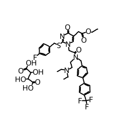 CCOC(=O)Cc1cn(CC(=O)N(CCN(CC)CC)Cc2ccc(-c3ccc(C(F)(F)F)cc3)cc2)c(SCc2ccc(F)cc2)nc1=O.O=C(O)C(O)C(O)C(=O)O